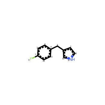 Fc1ccc(Cc2cc[nH]c2)cc1